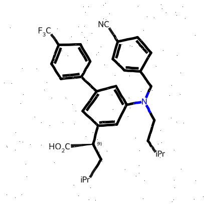 CC(C)CCN(Cc1ccc(C#N)cc1)c1cc(-c2ccc(C(F)(F)F)cc2)cc([C@@H](CC(C)C)C(=O)O)c1